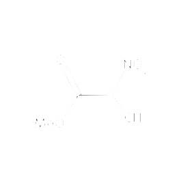 COC(=O)C(C)[N+](=O)[O-]